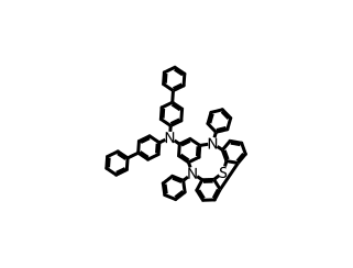 c1ccc(-c2ccc(N(c3ccc(-c4ccccc4)cc3)c3cc4cc(c3)N(c3ccccc3)c3cccc5c3sc3c(cccc35)N4c3ccccc3)cc2)cc1